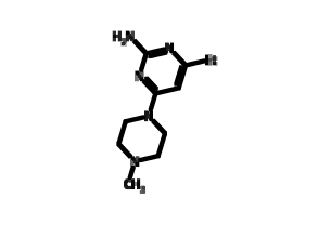 CCc1cc(N2CCN(C)CC2)nc(N)n1